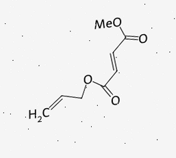 C=CCOC(=O)C=CC(=O)OC